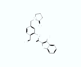 O=Cc1ccc(CN2CCCC2=O)cc1NC(=O)c1sc2ccccc2c1Cl